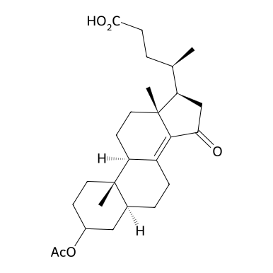 CC(=O)OC1CC[C@@]2(C)[C@@H](CCC3=C4C(=O)C[C@H]([C@H](C)CCC(=O)O)[C@@]4(C)CC[C@@H]32)C1